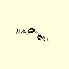 COc1ccc[c]([Zn][c]2cccc(OC)c2)c1